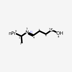 CCCC(C)/N=C/CCSO